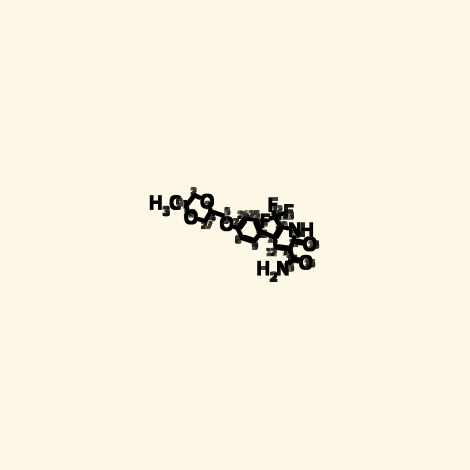 C[C@@H]1COC(COc2ccc(-c3cc(C(N)=O)c(=O)[nH]c3C(F)(F)F)cc2)CO1